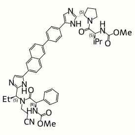 CC[C@@H](c1ncc(-c2ccc3cc(-c4ccc(-c5cnc([C@@H]6CCCN6C(=O)[C@@H](NC(=O)OC)C(C)C)[nH]5)cc4)ccc3c2)[nH]1)N(CCC#N)C(=O)[C@H](NC(=O)OC)c1ccccc1